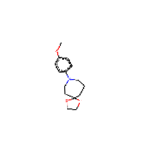 COc1ccc(N2CCCC3(CC2)OCCO3)cc1